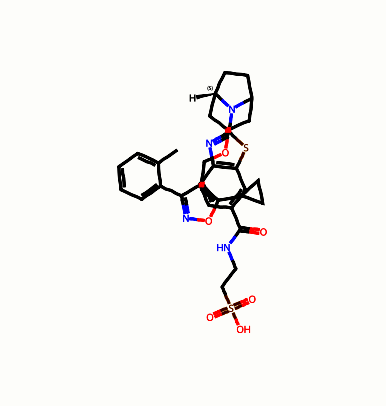 Cc1ccccc1-c1noc(C2CC2)c1COC1CC2CC[C@@H](C1)N2c1nc2ccc(C(=O)NCCS(=O)(=O)O)cc2s1